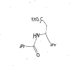 CCOC(=O)CC(NC(=O)C(C)C)C(C)C